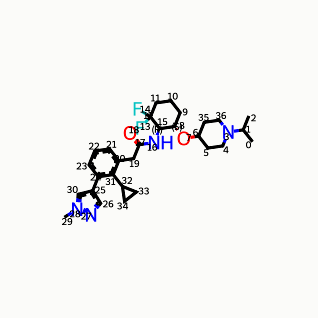 CC(C)N1CCC(O[C@H]2CCCC(F)(F)[C@@H]2NC(=O)Cc2cccc(-c3cnn(C)c3)c2C2CC2)CC1